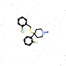 CN1CCC(SCc2ccccc2Cl)(c2ccccc2F)CC1